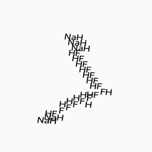 F.F.F.F.F.F.F.F.F.F.F.F.F.F.F.[NaH].[NaH].[NaH].[NaH].[NaH]